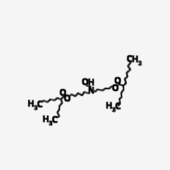 CCCCCCCCC(CCCCCC)C(=O)OCCCCCCN(CCO)CCCCCCOC(=O)C(CCCCCC)CCCCCC